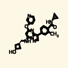 Cc1cc(-c2cnn3c(NC[C@H]4C[C@@H](O)C4)cc(Oc4cccnc4)nc23)ccc1C(=O)NC1CC1